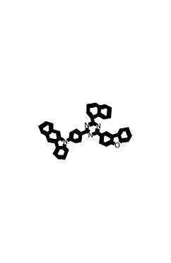 c1ccc2cc3c(cc2c1)c1ccccc1n3-c1ccc(-c2nc(-c3ccc4oc5ccccc5c4c3)nc(-c3cccc4ccccc34)n2)cc1